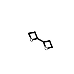 [CH]1COC1C1CCO1